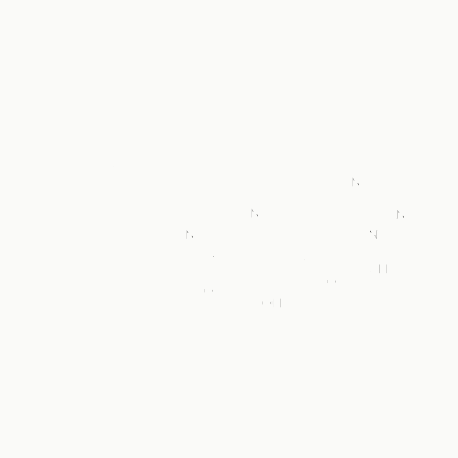 Cn1ncnc1-c1cn2ccn(Cc3ccc(F)cc3)c(=O)c2c(O)c1=O